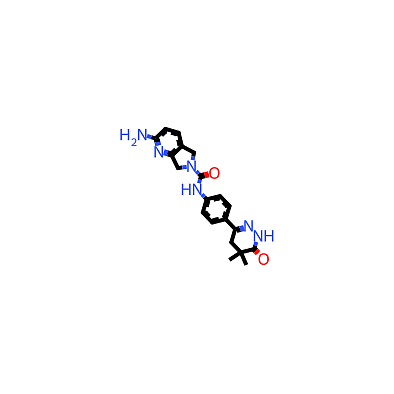 CC1(C)CC(c2ccc(NC(=O)N3Cc4ccc(N)nc4C3)cc2)=NNC1=O